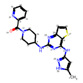 Cc1cc(Nc2nc(NC3CCN(C(=O)c4ccccn4)CC3)nc3ccsc23)n[nH]1